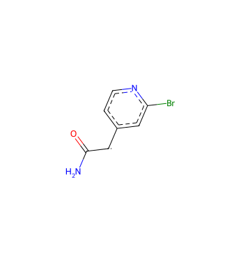 NC(=O)[CH]c1ccnc(Br)c1